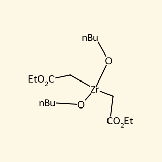 CCCC[O][Zr]([CH2]C(=O)OCC)([CH2]C(=O)OCC)[O]CCCC